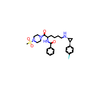 CS(=O)(=O)N1CCN(C(=O)C(CCCCN[C@@H]2C[C@H]2c2ccc(F)cc2)NC(=O)c2ccccc2)CC1